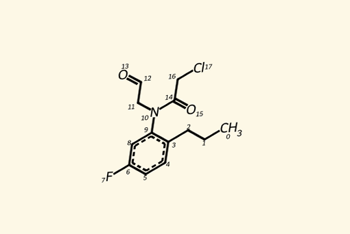 CCCc1ccc(F)cc1N(CC=O)C(=O)CCl